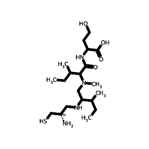 CCC(C)C(CN(C)C(C(=O)NC(CCO)C(=O)O)C(C)CC)NC[C@H](N)CS